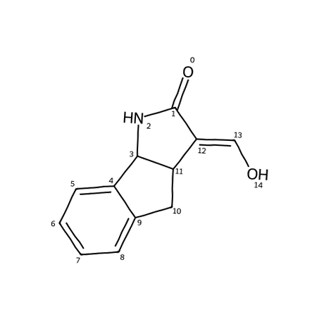 O=C1NC2c3ccccc3CC2C1=CO